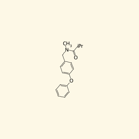 CC(C)C(=O)N(C)Cc1ccc(Oc2ccccc2)cc1